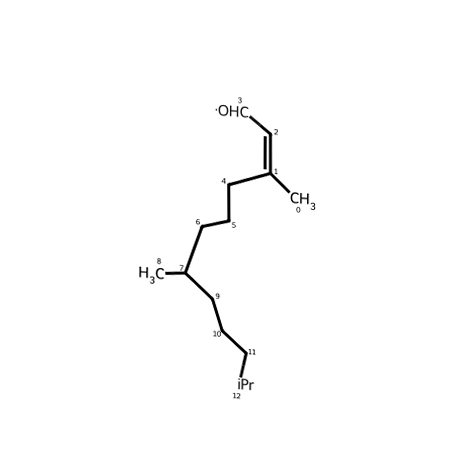 CC(=C[C]=O)CCCC(C)CCCC(C)C